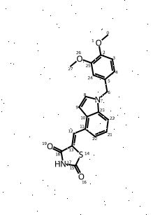 COc1ccc(Cn2ccc3c(C=C4SC(=O)NC4=O)cccc32)cc1OC